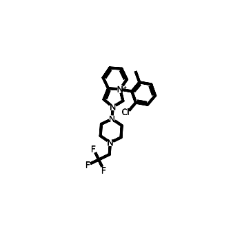 Cc1cccc(Cl)c1[N+]12C=CC=CC1=CN(N1CCN(CC(F)(F)F)CC1)C2